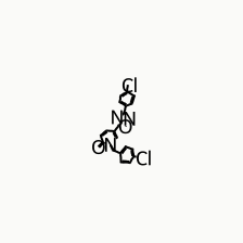 O=c1ccc(-c2nc(-c3ccc(Cl)cc3)no2)cn1Cc1ccc(Cl)cc1